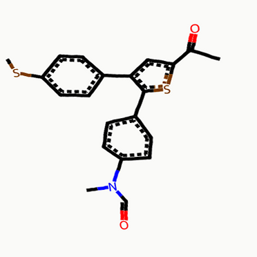 CSc1ccc(-c2cc(C(C)=O)sc2-c2ccc(N(C)C=O)cc2)cc1